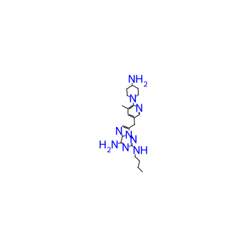 CCCCNc1nc(N)c2ncc(Cc3cnc(N4CCC(N)CC4)c(C)c3)n2n1